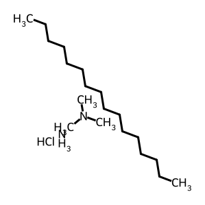 CCCCCCCCCCCCCCCC.CN(C)C.Cl.N